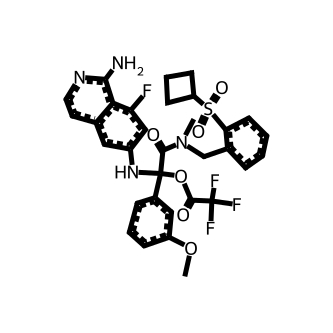 COc1cccc(C(Nc2cc(F)c3c(N)nccc3c2)(OC(=O)C(F)(F)F)C(=O)N(C)Cc2ccccc2S(=O)(=O)C2CCC2)c1